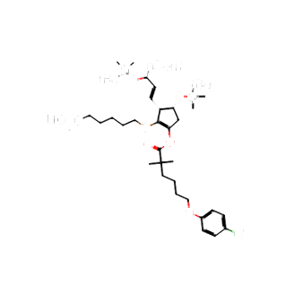 CCCCC[C@@H](C=C[C@@H]1C(SCCCCCC(=O)O)=C(OC(=O)C(C)(C)CCCCOc2ccc(Cl)cc2)C[C@H]1O[Si](C)(C)C(C)(C)C)O[Si](C)(C)C(C)(C)C